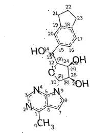 Cc1ncnc2c1ccn2[C@@H]1O[C@H]([C@H](O)c2ccc3c(c2)CCC3)[C@@H](O)[C@H]1O